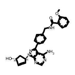 COc1ccccc1C(=O)NCc1ccc(-c2nn([C@H]3C=C[C@H](O)C3)c3ncnc(N)c23)cc1